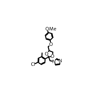 COc1ccc(OCC2COC(Cn3ccnc3)(c3ccc(Cl)cc3C)O2)cc1